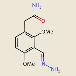 COc1ccc(CC(N)=O)c(OC)c1C=NN